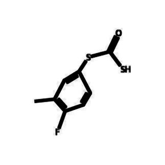 Cc1cc(SC(=O)S)ccc1F